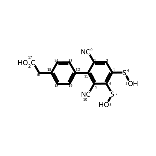 N#Cc1cc(SO)c(SO)c(C#N)c1-c1ccc(CC(=O)O)cc1